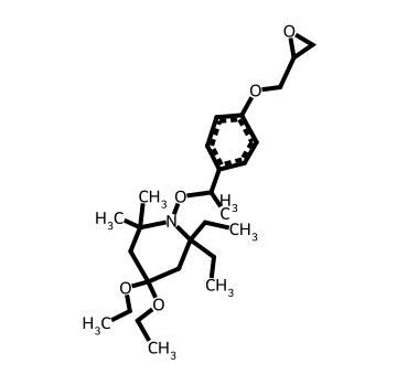 CCOC1(OCC)CC(C)(C)N(OC(C)c2ccc(OCC3CO3)cc2)C(CC)(CC)C1